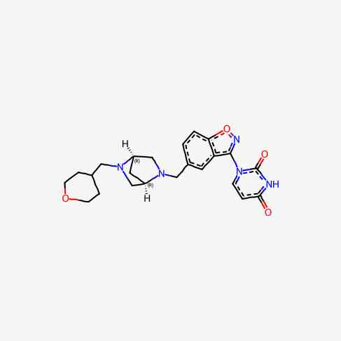 O=c1ccn(-c2noc3ccc(CN4C[C@H]5C[C@@H]4CN5CC4CCOCC4)cc23)c(=O)[nH]1